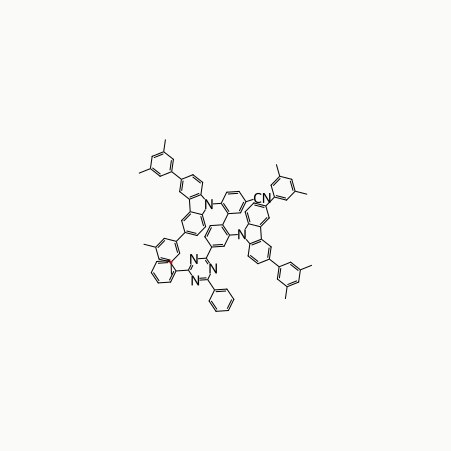 Cc1cc(C)cc(-c2ccc3c(c2)c2cc(-c4cc(C)cc(C)c4)ccc2n3-c2ccc(C#N)cc2-c2ccc(-c3nc(-c4ccccc4)nc(-c4ccccc4)n3)cc2-n2c3ccc(-c4cc(C)cc(C)c4)cc3c3cc(-c4cc(C)cc(C)c4)ccc32)c1